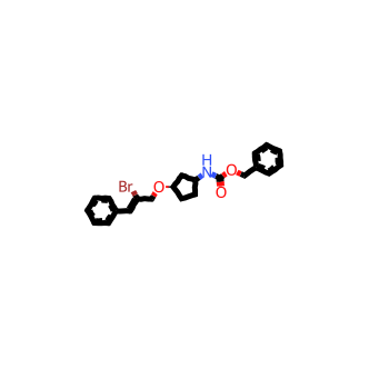 O=C(NC1CC[C@H](OC/C(Br)=C/c2ccccc2)C1)OCc1ccccc1